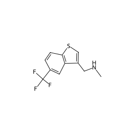 CNCc1csc2ccc(C(F)(F)F)cc12